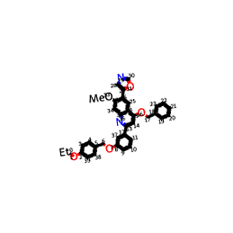 CCOc1ccc(COc2cccc(-c3cc(OCc4ccccc4)c4cc(-c5cnco5)c(OC)cc4n3)c2)cc1